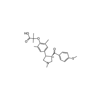 CSc1ccc(C(=O)[C@H]2CN(C)CC2c2cc(C)c(OC(C)(C)C(=O)O)c(C)c2)cc1